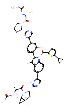 COC(=O)N[C@H](C(=O)N1CCC[C@H]1c1ncc(-c2ccc3c(c2)OC(c2ccc(C4CC4)s2)n2c-3c(F)c3cc(-c4cnc([C@@H]5C[C@H]6C[C@H]6N5C(=O)[C@@H](NC(=O)OC)C(C)C)[nH]4)ccc32)[nH]1)C(C)C